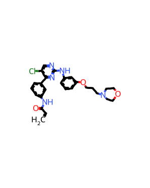 C=CC(=O)Nc1cccc(-c2nc(Nc3cccc(OCCCN4CCOCC4)c3)ncc2Cl)c1